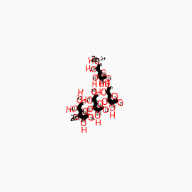 O=C1O[C@H]([C@@H](O)CO)C([O-])=C1O.O=C1O[C@H]([C@@H](O)CO)C([O-])=C1O.O=C1O[C@H]([C@@H](O)CO)C([O-])=C1O.O=C1O[C@H]([C@@H](O)CO)C([O-])=C1O.[Zn+2].[Zn+2]